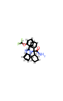 NC(=O)C(C1CCCCC1)(C1CCCCC1)n1c(-c2ccccc2OC(F)F)nc2ccccc21